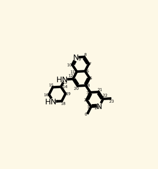 Cc1cc(C2=CC3C=CN=CC3C(NC3CCNCC3)=C2)cc(C)n1